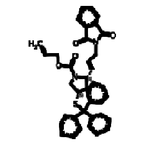 C=CCOC(=O)N1C[C@@H](SC(c2ccccc2)(c2ccccc2)c2ccccc2)C[C@H]1C=CCN1C(=O)c2ccccc2C1=O